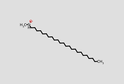 CCCCCCCCCCCCCCCCCCCCCCCC[SiH](C)[O]